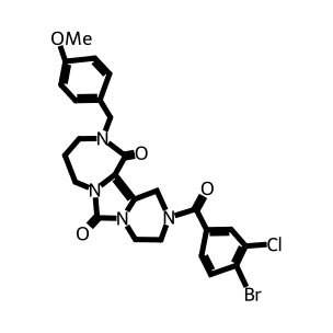 COc1ccc(CN2CCCn3c(c4n(c3=O)CCN(C(=O)c3ccc(Br)c(Cl)c3)C4)C2=O)cc1